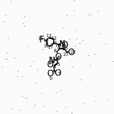 COC(=O)c1cc(OCc2c(-c3ccc(F)cc3)noc2C=O)no1